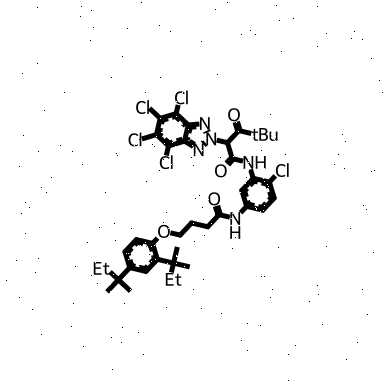 CCC(C)(C)c1ccc(OCCCC(=O)Nc2ccc(Cl)c(NC(=O)C(C(=O)C(C)(C)C)n3nc4c(Cl)c(Cl)c(Cl)c(Cl)c4n3)c2)c(C(C)(C)CC)c1